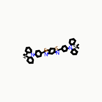 C[Si]1(C)c2ccccc2N(c2ccc(-c3nc4cc5nc(-c6ccc(N7c8ccccc8[Si](C)(C)c8ccccc87)cc6)sc5cc4s3)cc2)c2ccccc21